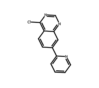 Clc1ncnc2cc(-c3ccccn3)ccc12